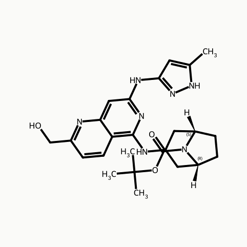 Cc1cc(Nc2cc3nc(CO)ccc3c(NC3C[C@H]4CC[C@@H](C3)N4C(=O)OC(C)(C)C)n2)n[nH]1